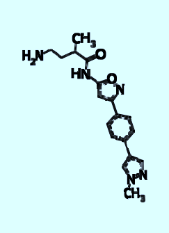 CC(CCN)C(=O)Nc1cc(-c2ccc(-c3cnn(C)c3)cc2)no1